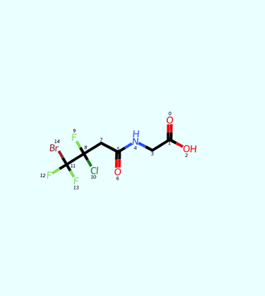 O=C(O)CNC(=O)CC(F)(Cl)C(F)(F)Br